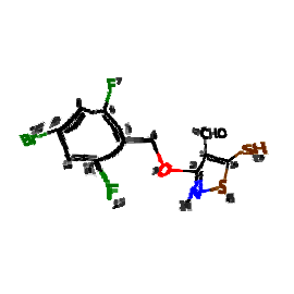 O=Cc1c(OCc2c(F)cc(Br)cc2F)nsc1S